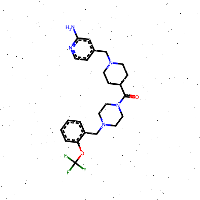 Nc1cc(CN2CCC(C(=O)N3CCN(Cc4ccccc4OC(F)(F)F)CC3)CC2)ccn1